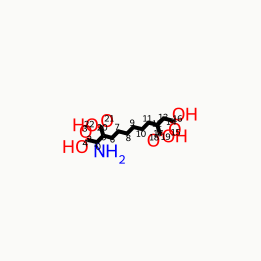 NC(C(=O)O)C(CCCCCCC(CC(=O)O)C(=O)O)C(=O)O